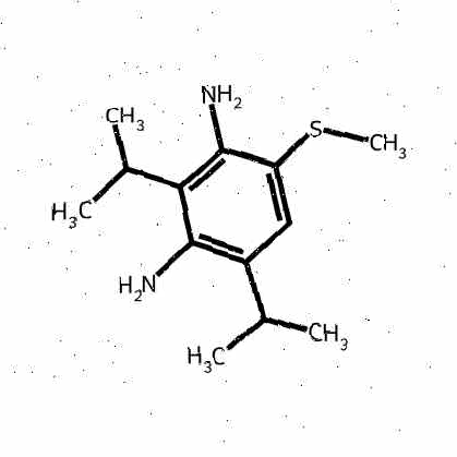 CSc1cc(C(C)C)c(N)c(C(C)C)c1N